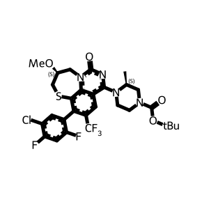 CO[C@@H]1CSc2c(-c3cc(Cl)c(F)cc3F)c(C(F)(F)F)cc3c(N4CCN(C(=O)OC(C)(C)C)C[C@@H]4C)nc(=O)n(c23)C1